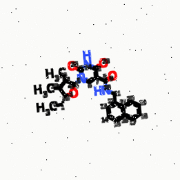 CC[C@H]1O[C@@H](n2cc(C(=O)NCc3cccc4ccccc34)c(=O)[nH]c2=O)[C@@H](C)C1C